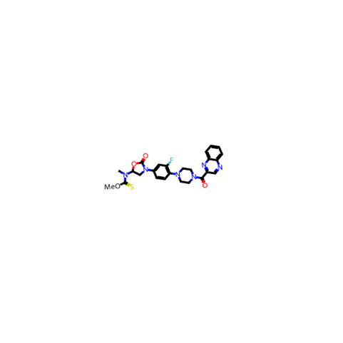 COC(=S)N(C)C1CN(c2ccc(N3CCN(C(=O)c4cnc5ccccc5n4)CC3)c(F)c2)C(=O)O1